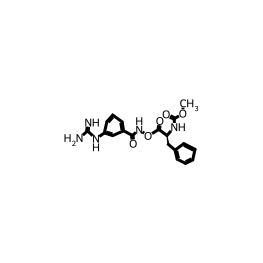 COC(=O)N[C@@H](Cc1ccccc1)C(=O)ONC(=O)c1cccc(NC(=N)N)c1